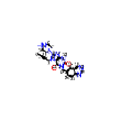 CC#CCn1c(N2CCNCC2)nc2c1c(=O)n(Cc1ccc3ncncc3c1)c(=O)n2C